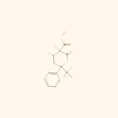 COC(=O)C1(C)C(=O)NC(c2ccccc2)(C(C)(C)C)CC1O